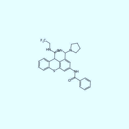 CCCC(c1cc(NC(=O)c2ccccc2)cc2c1C(C(=O)NCC(F)(F)F)c1ccccc1S2)N1CCCC1